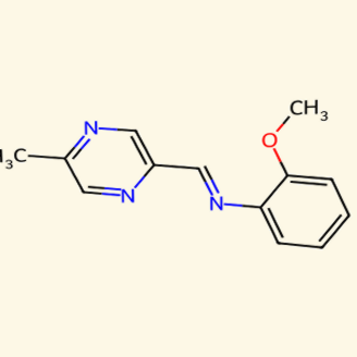 COc1ccccc1N=Cc1cnc(C)cn1